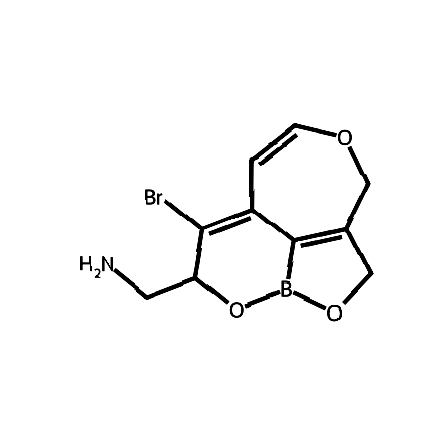 NCC1OB2OCC3=C2C(=C1Br)C=COC3